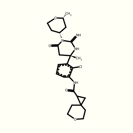 C[C@@H]1C[C@H](N2C(=N)N[C@](C)(c3cccc(NC(=O)C4CC45CCOCC5)c3Cl)CC2=O)CCO1